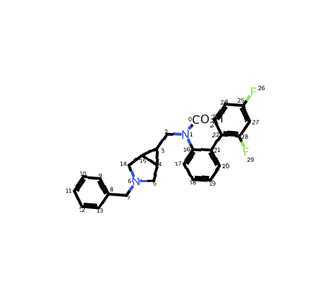 O=C(O)N(CC1C2CN(Cc3ccccc3)CC21)c1ccccc1-c1ccc(F)cc1F